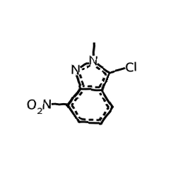 Cn1nc2c([N+](=O)[O-])cccc2c1Cl